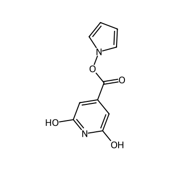 O=C(On1cccc1)c1cc(O)nc(O)c1